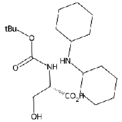 C1CCC(NC2CCCCC2)CC1.CC(C)(C)OC(=O)N[C@@H](CO)C(=O)O